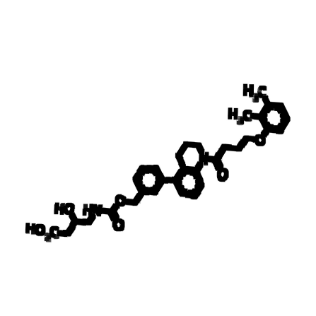 Cc1cccc(OCCCC(=O)N2CCCc3c(-c4cccc(COC(=O)NCC(O)CC(=O)O)c4)cccc32)c1C